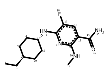 CC[C@H]1CC[C@H](Nc2nc(NC)c(C(N)=O)cc2F)CC1